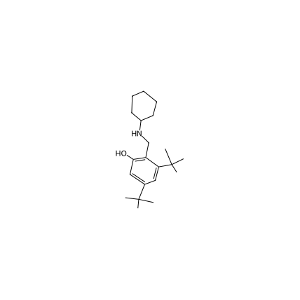 CC(C)(C)c1cc(O)c(CNC2CCCCC2)c(C(C)(C)C)c1